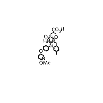 COc1ccc(Oc2ccc(/N=c3\[nH]c(=O)n(CC(C)C(=O)O)c(=O)n3Cc3ccc(C)cc3)cc2)cn1